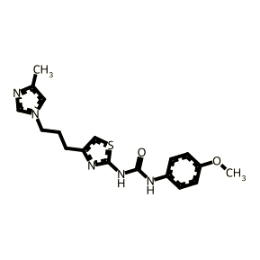 COc1ccc(NC(=O)Nc2nc(CCCn3cnc(C)c3)cs2)cc1